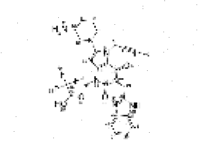 CC#CCn1c(N2CCCC(N)C2)nc2c1c(=O)n(Cc1nc3ccccc3[nH]1)c(=O)n2C.O=C(O)C(F)(F)F